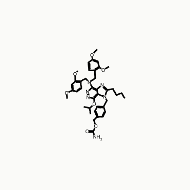 CCCCc1nc2c(N(Cc3ccc(OC)cc3OC)Cc3ccc(OC)cc3OC)nnc(OC(C)C)c2n1Cc1ccc(COC(N)=O)cc1